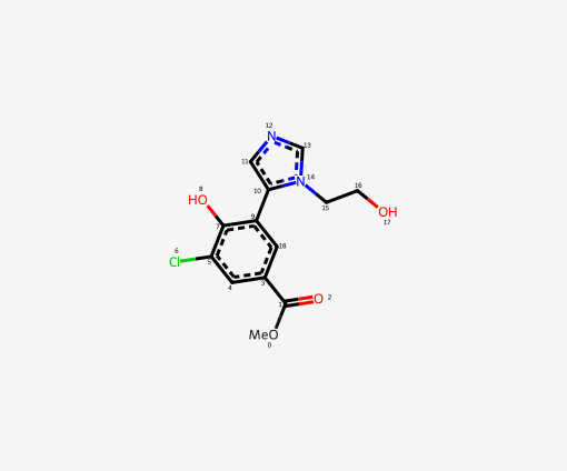 COC(=O)c1cc(Cl)c(O)c(-c2cncn2CCO)c1